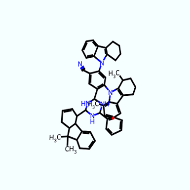 Cc1cccc2c3c(n(-c4cc(-n5c6c(c7ccccc75)CCCC6)c(C#N)cc4C4NC(c5ccccc5)NC(C5C=CCC6C5C5=CC=CCC5C6(C)C)N4)c12)C(C)CCC3